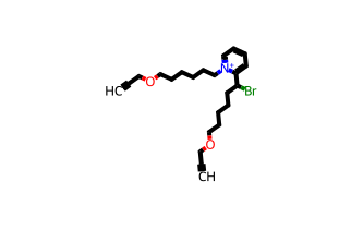 C#CCOCCCCCC[n+]1ccccc1C(Br)CCCCCOCC#C